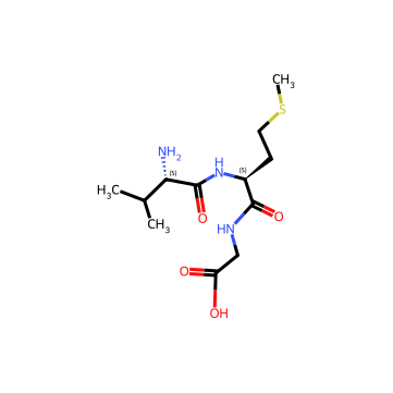 CSCC[C@H](NC(=O)[C@@H](N)C(C)C)C(=O)NCC(=O)O